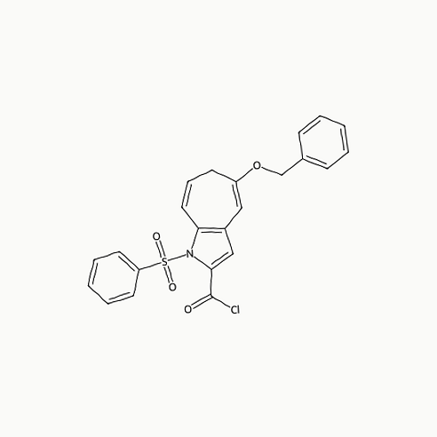 O=C(Cl)c1cc2c(n1S(=O)(=O)c1ccccc1)C=CCC(OCc1ccccc1)=C2